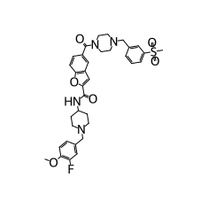 COc1ccc(CN2CCC(NC(=O)c3cc4cc(C(=O)N5CCN(Cc6cccc(S(C)(=O)=O)c6)CC5)ccc4o3)CC2)cc1F